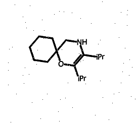 CC(C)C1=C(C(C)C)OC2(CCCCC2)CN1